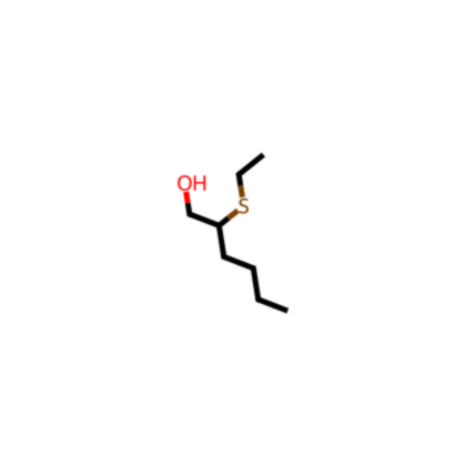 CCCCC(CO)SCC